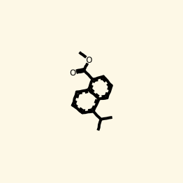 COC(=O)c1cccc2c(C(C)C)cccc12